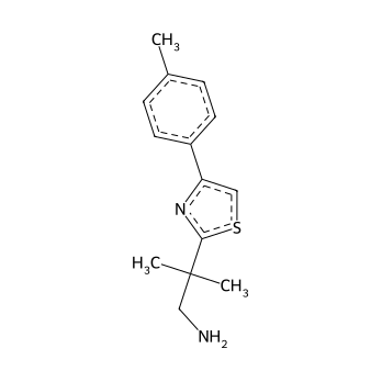 Cc1ccc(-c2csc(C(C)(C)CN)n2)cc1